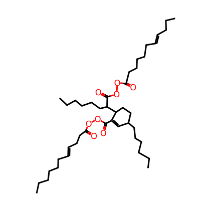 CCCC=CCCCCCC(=O)OOC(=O)C(CCCCCC)C1CCC(CCCCCC)C=C1C(=O)OOC(=O)CCC=CCCCCCC